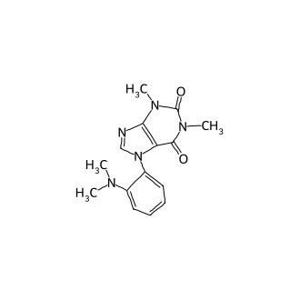 CN(C)c1ccccc1-n1cnc2c1c(=O)n(C)c(=O)n2C